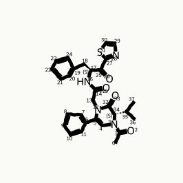 CC(=O)N1C=C(c2ccccc2)N(CC(=O)N[C@@H](Cc2ccccc2)C(=O)c2nccs2)C(=O)[C@@H]1C(C)C